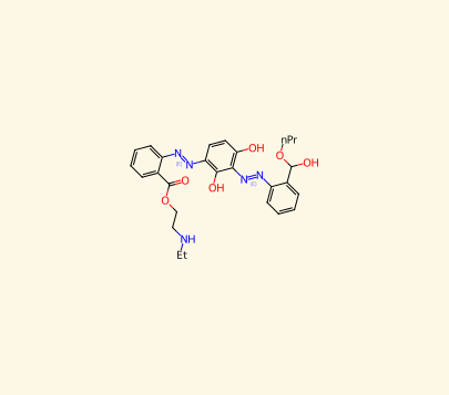 CCCOC(O)c1ccccc1/N=N/c1c(O)ccc(/N=N/c2ccccc2C(=O)OCCNCC)c1O